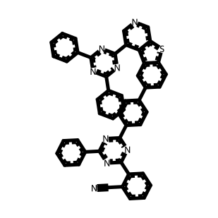 N#Cc1ccccc1-c1nc(-c2ccccc2)nc(-c2ccc(-c3ccc4sc5cncc(-c6nc(-c7ccccc7)nc(-c7ccccc7)n6)c5c4c3)cc2)n1